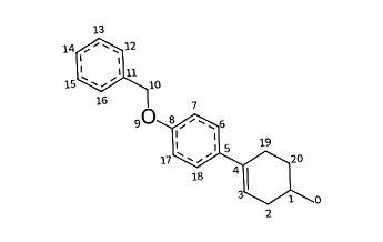 CC1CC=C(c2ccc(OCc3ccccc3)cc2)CC1